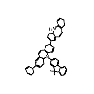 CC1(C)c2ccccc2-c2ccc(N3C4=C(C=CC5=CC(C6C=CC=CC6)=CCC53)CC(C3=CCC5NC6=C(C=CC5=C3)CCC=C6)C=C4)cc21